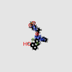 C#Cc1cccc2cc(O)cc(-c3c(F)cc4c(N5CC6CCC(C5)N6)nc(OCC5(CN6CCN(S(C)(=O)=O)[C@@H](C)C6)CC5)nc4c3F)c12